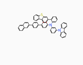 c1cc(N(c2ccc(-c3ccc(-c4ccc5ccccc5c4)cc3)cc2)c2ccccc2-c2ccc3c(c2)sc2ccccc23)cc(-n2c3ccccc3c3ccccc32)c1